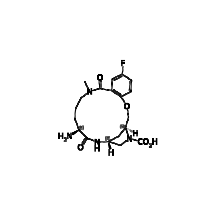 CN1CCC[C@H](N)C(=O)N[C@@H]2C[C@@H](COc3ccc(F)cc3C1=O)N(C(=O)O)C2